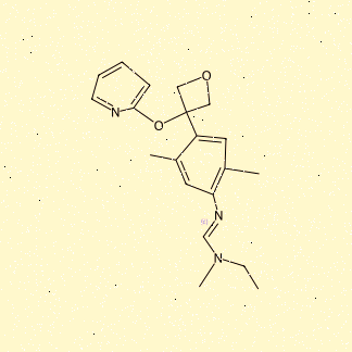 CCN(C)/C=N/c1cc(C)c(C2(Oc3ccccn3)COC2)cc1C